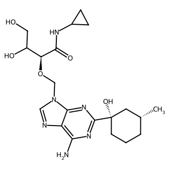 C[C@@H]1CCC[C@@](O)(c2nc(N)c3ncn(CO[C@H](C(=O)NC4CC4)C(O)CO)c3n2)C1